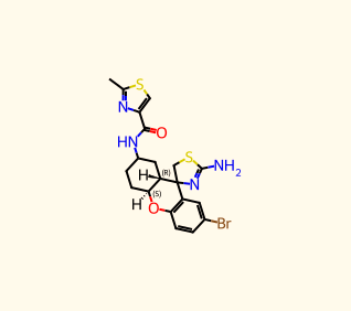 Cc1nc(C(=O)NC2CC[C@@H]3Oc4ccc(Br)cc4C4(CSC(N)=N4)[C@H]3C2)cs1